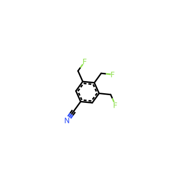 N#Cc1cc(CF)c(CF)c(CF)c1